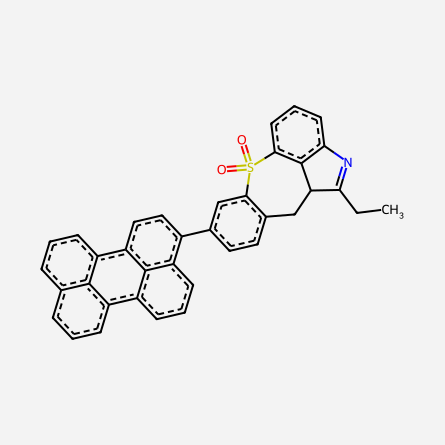 CCC1=Nc2cccc3c2C1Cc1ccc(-c2ccc4c5cccc6cccc(c7cccc2c74)c65)cc1S3(=O)=O